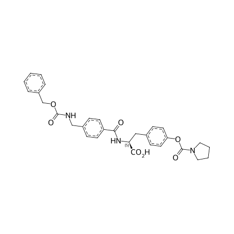 O=C(NCc1ccc(C(=O)N[C@@H](Cc2ccc(OC(=O)N3CCCC3)cc2)C(=O)O)cc1)OCc1ccccc1